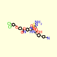 Cc1nc(N)sc1S(=O)(=O)N1Cc2cc3c(cc2CC1C(=O)N[C@@H](Cc1ccc(-c2ccc(C#N)cc2)cc1)C(=O)O)N(C)C(=O)[C@H](c1ccc(OCc2ccc(Cl)c(Cl)c2)cc1)O3